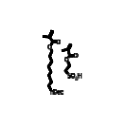 C=C(C)C(=O)OCCCCCCCCCCCCCCCCCC.C=C(C)C(=O)OCCS(=O)(=O)O